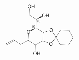 C=CCC1O[C@@H]([C@H](O)CO)C2OC3(CCCCC3)OC2C1O